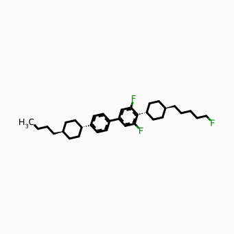 CCCC[C@H]1CC[C@H](c2ccc(-c3cc(F)c([C@H]4CC[C@H](CCCCCF)CC4)c(F)c3)cc2)CC1